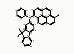 Cc1ccc2ccc3c(N(c4ccccc4)c4ccc5c(c4)C(C)(C)c4ccccc4-5)ccc4ccc1c2c43